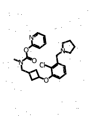 CN(CC1CC(Oc2cccc(CN3CCCC3)c2Cl)C1)C(=O)Oc1ccccn1